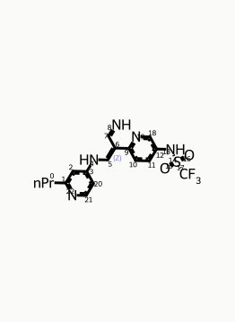 CCCc1cc(N/C=C(\C=N)c2ccc(NS(=O)(=O)C(F)(F)F)cn2)ccn1